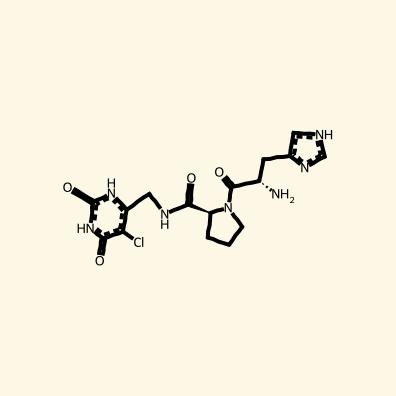 N[C@@H](Cc1c[nH]cn1)C(=O)N1CCC[C@H]1C(=O)NCc1[nH]c(=O)[nH]c(=O)c1Cl